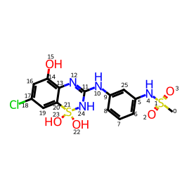 CS(=O)(=O)Nc1cccc(NC2=Nc3c(O)cc(Cl)cc3S(O)(O)N2)c1